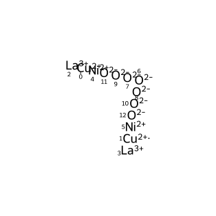 [Cu+2].[Cu+2].[La+3].[La+3].[Ni+2].[Ni+2].[O-2].[O-2].[O-2].[O-2].[O-2].[O-2].[O-2]